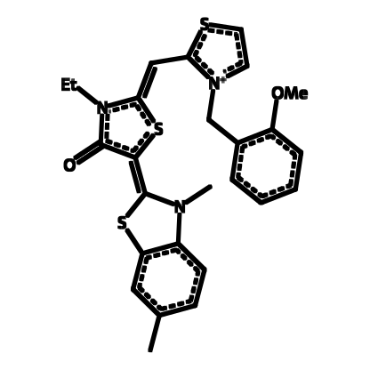 CCn1c(=O)/c(=C2\Sc3cc(C)ccc3N2C)s/c1=C\c1scc[n+]1Cc1ccccc1OC